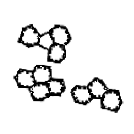 c1cc2ccc3cccc4ccc(c1)c2c34.c1ccc2c(c1)-c1cccc3cccc-2c13.c1ccc2c(c1)ccc1ccccc12